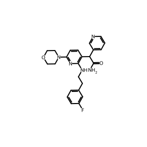 NC(=O)C(c1cccnc1)c1ccc(N2CCOCC2)nc1NCCc1cccc(F)c1